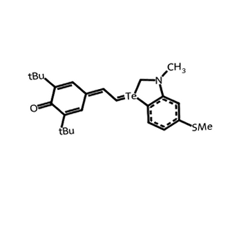 CSc1ccc2c(c1)N(C)C[Te]2=CC=C1C=C(C(C)(C)C)C(=O)C(C(C)(C)C)=C1